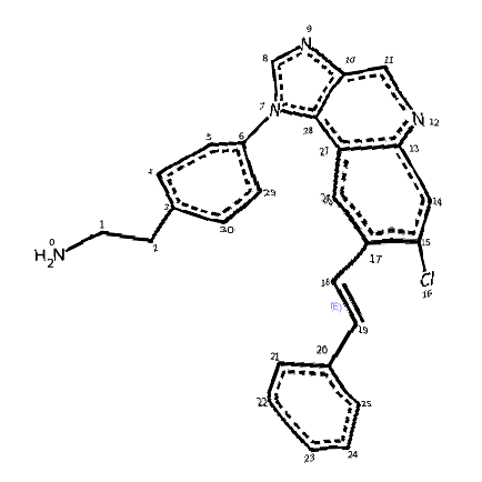 NCCc1ccc(-n2cnc3cnc4cc(Cl)c(/C=C/c5ccccc5)cc4c32)cc1